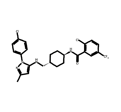 Cc1cc(NC[C@H]2CC[C@H](NC(=O)c3cc(C(F)(F)F)ccc3Cl)CC2)n(-c2ccc(Cl)cc2)n1